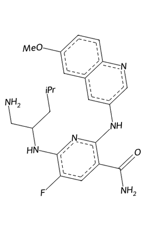 COc1ccc2ncc(Nc3nc(NC(CN)CC(C)C)c(F)cc3C(N)=O)cc2c1